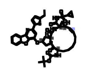 CCc1ccc(-c2cc(O[C@@H]3C[C@H]4C(=O)N[C@]5(C(=O)NS(=O)(=O)C6CC6)C[C@H]5/C=C\CCCCC[C@H](NC(=O)OC(C)(C)C)C(=O)N4C3)c3oc4ccccc4c3n2)s1